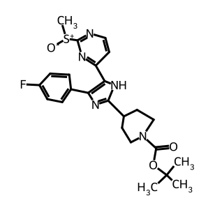 C[S+]([O-])c1nccc(-c2[nH]c(C3CCN(C(=O)OC(C)(C)C)CC3)nc2-c2ccc(F)cc2)n1